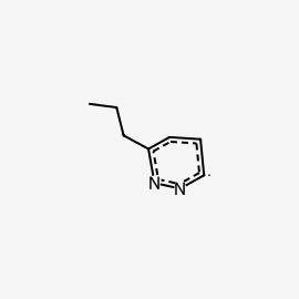 CCCc1cc[c]nn1